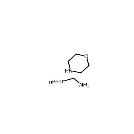 C1COCCN1.CCCCCCN